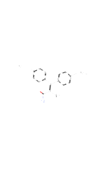 COc1ccc(C(=C(C(N)=O)C(C)C)c2ccc(OC)cc2)cc1